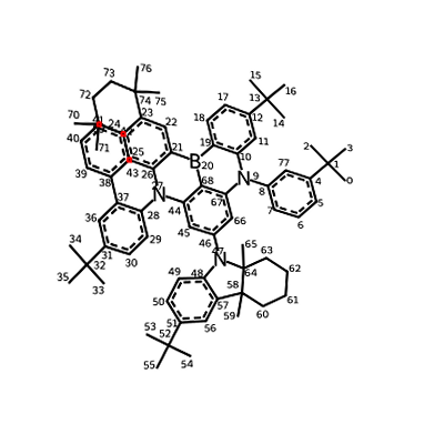 CC(C)(C)c1cccc(N2c3cc(C(C)(C)C)ccc3B3c4cc5c(cc4N(c4ccc(C(C)(C)C)cc4-c4ccccc4)c4cc(N6c7ccc(C(C)(C)C)cc7C7(C)CCCCC67C)cc2c43)C(C)(C)CCC5(C)C)c1